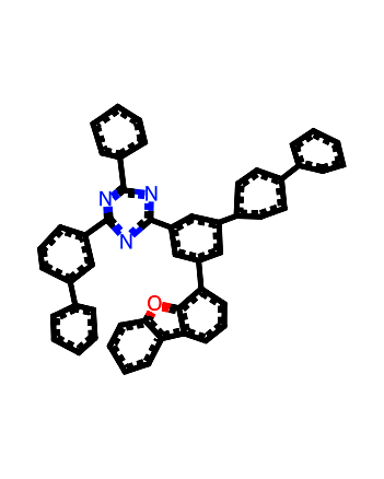 c1ccc(-c2ccc(-c3cc(-c4nc(-c5ccccc5)nc(-c5cccc(-c6ccccc6)c5)n4)cc(-c4cccc5c4oc4ccccc45)c3)cc2)cc1